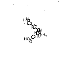 Nc1c(Br)c([C@H]2CC[C@H](C(=O)O)CC2)nc2c(-c3ccc(-c4ccc5[nH]ncc5c4)nc3)cnn12